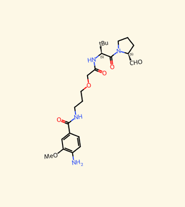 COc1cc(C(=O)NCCCOCC(=O)N[C@H](C(=O)N2CCC[C@H]2C=O)C(C)(C)C)ccc1N